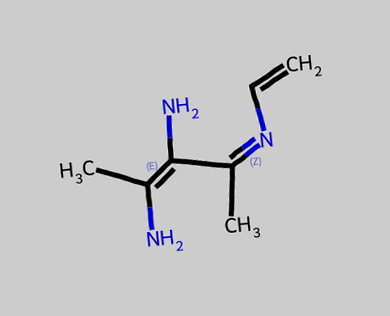 C=C/N=C(C)\C(N)=C(\C)N